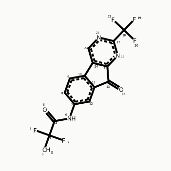 CC(F)(F)C(=O)Nc1ccc2c(c1)C(=O)c1nc(C(F)(F)F)ncc1-2